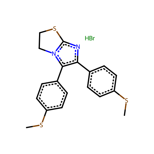 Br.CSc1ccc(-c2nc3n(c2-c2ccc(SC)cc2)CCS3)cc1